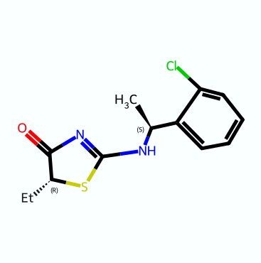 CC[C@H]1SC(N[C@@H](C)c2ccccc2Cl)=NC1=O